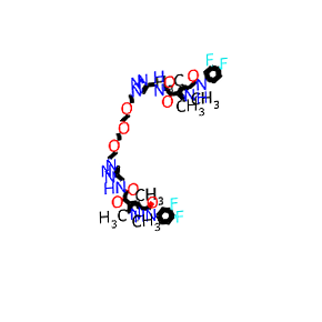 Cc1c(C(=O)C(=O)NCc2cn(CCOCCOCCOCCn3cc(CNC(=O)C(=O)c4c(C)c(C(=O)Nc5ccc(F)c(F)c5)n(C)c4C)nn3)nn2)c(C)n(C)c1C(=O)Nc1ccc(F)c(F)c1